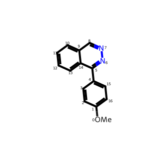 COc1ccc(-c2nncc3ccccc23)cc1